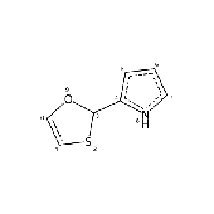 C1=CSC(c2ccc[nH]2)O1